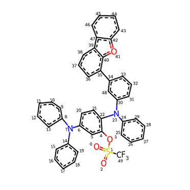 O=S(=O)(Oc1cc(N(c2ccccc2)c2ccccc2)ccc1N(c1ccccc1)c1cccc(-c2cccc3c2oc2ccccc23)c1)C(F)(F)F